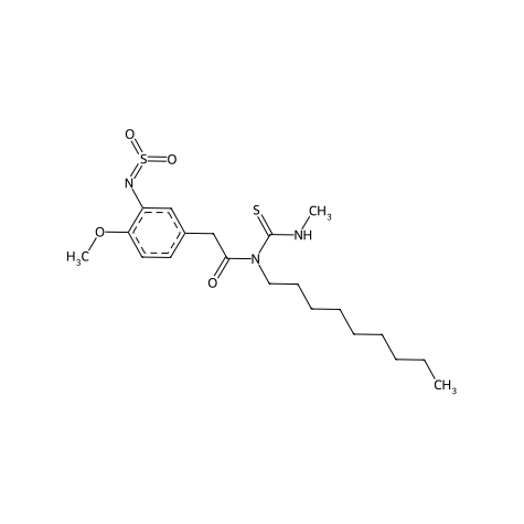 CCCCCCCCCN(C(=O)Cc1ccc(OC)c(N=S(=O)=O)c1)C(=S)NC